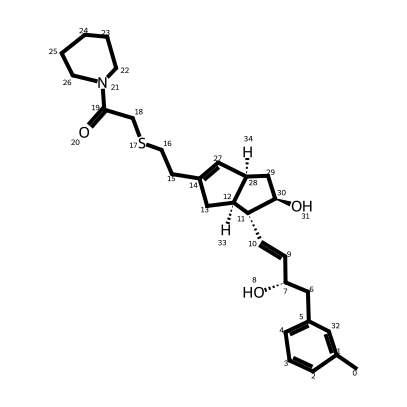 Cc1cccc(C[C@H](O)/C=C/[C@@H]2[C@H]3CC(CCSCC(=O)N4CCCCC4)=C[C@H]3C[C@H]2O)c1